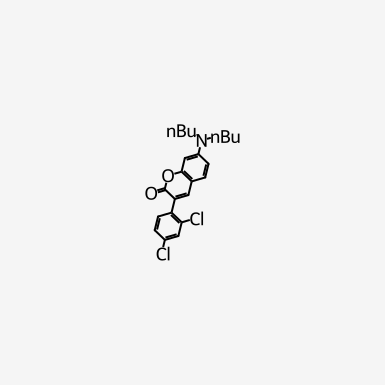 CCCCN(CCCC)c1ccc2cc(-c3ccc(Cl)cc3Cl)c(=O)oc2c1